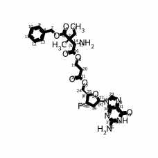 CC[C@@](C)(C(=O)OCc1ccccc1)[C@H](N)C(=O)OCCC(=O)OC[C@H]1O[C@@H](n2cnc3c(=O)[nH]c(N)nc32)C[C@@H]1F